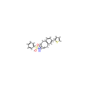 O=S(=O)(NC1C2CCC1Cc1cc(-c3cccs3)ccc1C2)c1ccccc1